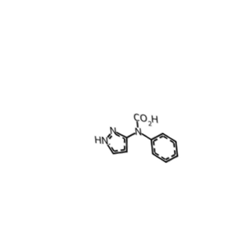 O=C(O)N(c1ccccc1)c1cc[nH]n1